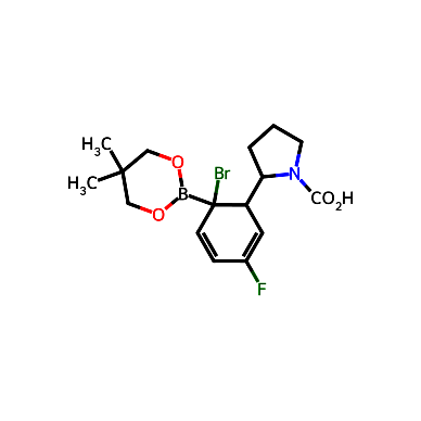 CC1(C)COB(C2(Br)C=CC(F)=CC2C2CCCN2C(=O)O)OC1